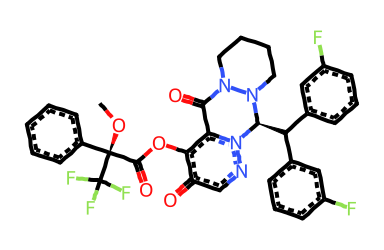 CO[C@](C(=O)Oc1c2n(ncc1=O)[C@H](C(c1cccc(F)c1)c1cccc(F)c1)N1CCCCN1C2=O)(c1ccccc1)C(F)(F)F